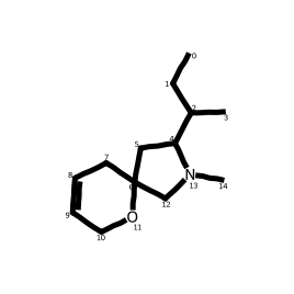 CCC(C)C1CC2(CC=CCO2)CN1C